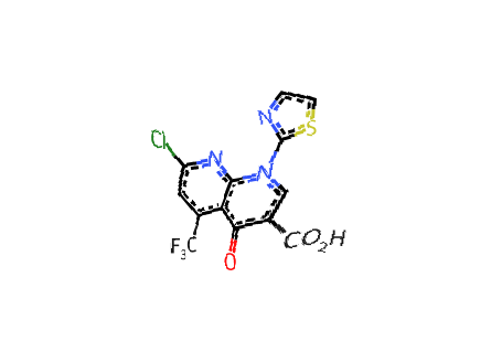 O=C(O)c1cn(-c2nccs2)c2nc(Cl)cc(C(F)(F)F)c2c1=O